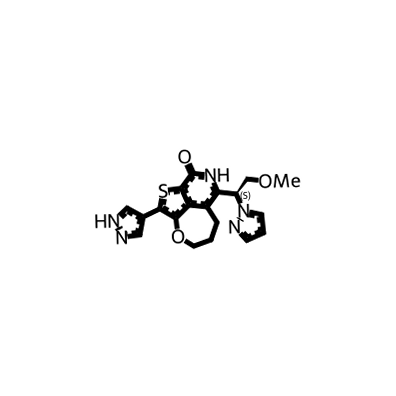 COC[C@H](c1[nH]c(=O)c2sc(-c3cn[nH]c3)c3c2c1CCCO3)n1cccn1